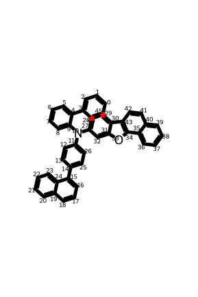 c1ccc(-c2ccccc2N(c2ccc(-c3cccc4ccccc34)cc2)c2ccc3c(c2)oc2c4ccccc4ccc32)cc1